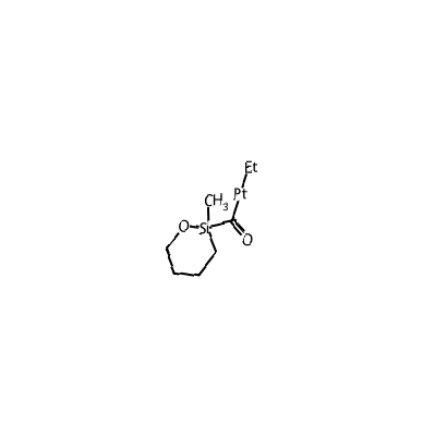 C[CH2][Pt][C](=O)[Si]1(C)CCCCO1